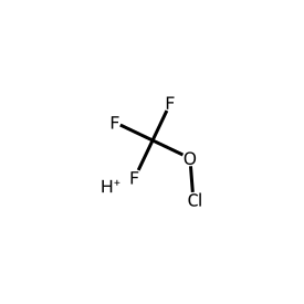 FC(F)(F)OCl.[H+]